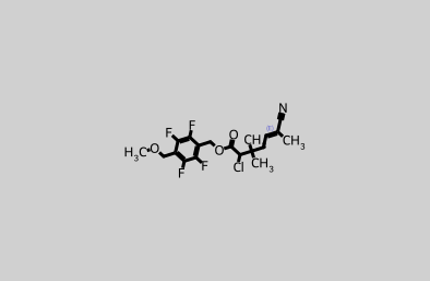 COCc1c(F)c(F)c(COC(=O)C(Cl)C(C)(C)C/C=C(\C)C#N)c(F)c1F